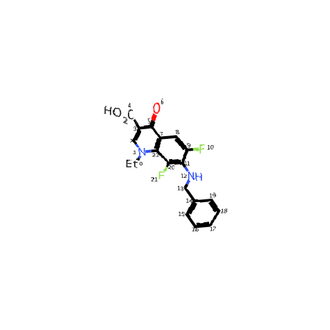 CCn1cc(C(=O)O)c(=O)c2cc(F)c(NCc3ccccc3)c(F)c21